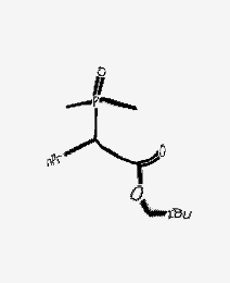 CCCC(C(=O)OC(C)(C)C)P(C)(C)=O